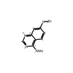 CCSc1ccc2c(NC)ncnc2c1